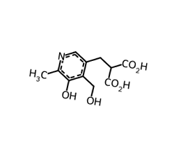 Cc1ncc(CC(C(=O)O)C(=O)O)c(CO)c1O